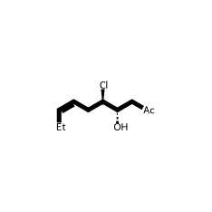 CC/C=C\C[C@@H](Cl)[C@@H](O)CC(C)=O